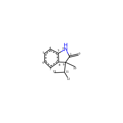 C=C1Nc2ccccc2C1(C)C(C)C